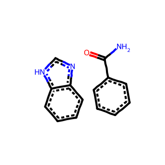 NC(=O)c1ccccc1.c1ccc2[nH]cnc2c1